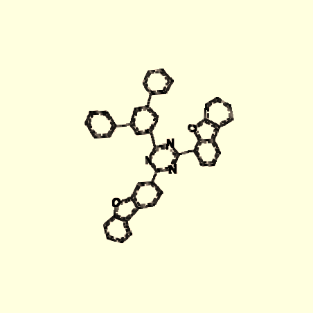 c1ccc(-c2cc(-c3ccccc3)cc(-c3nc(-c4ccc5c(c4)oc4ccccc45)nc(-c4cccc5c4oc4ccccc45)n3)c2)cc1